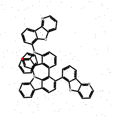 c1ccc(-n2c3ccccc3c3ccc(-c4cccc5c4oc4cccnc45)c(-c4cccc5c4c4ccccc4n5-c4cccc5c4oc4cccnc45)c32)cc1